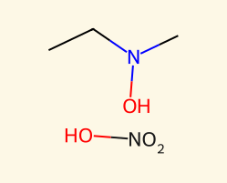 CCN(C)O.O=[N+]([O-])O